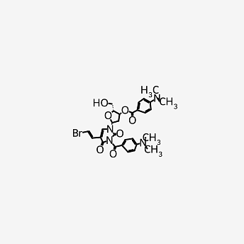 CN(C)c1ccc(C(=O)O[C@H]2C[C@H](n3cc(C=CBr)c(=O)n(C(=O)c4ccc(N(C)C)cc4)c3=O)O[C@@H]2CO)cc1